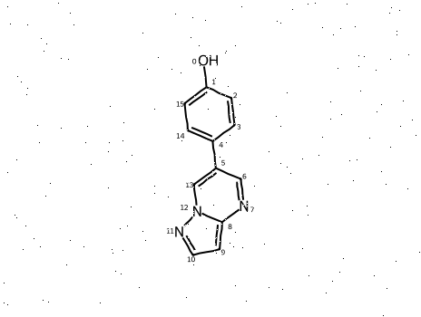 Oc1ccc(-c2cnc3ccnn3c2)cc1